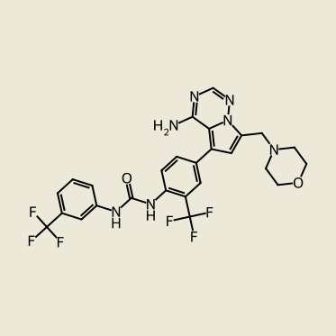 Nc1ncnn2c(CN3CCOCC3)cc(-c3ccc(NC(=O)Nc4cccc(C(F)(F)F)c4)c(C(F)(F)F)c3)c12